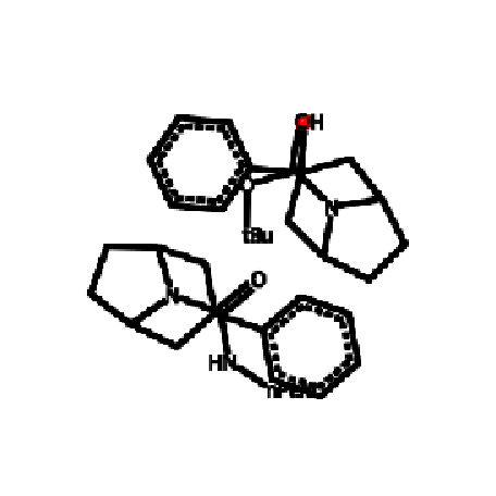 CC(C)(C)OC(=O)N1C2CCC1CC(O)(c1ccccc1)C2.CCCCCNC(=O)N1C2CCC1CC(c1ccccc1)C2